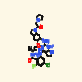 COc1cc2c(cc1Nc1nc(Nc3cc(Cl)cc(F)c3C(N)=O)c3ccnc-3[nH]1)N(C(=O)CN1CCCC1)CC2